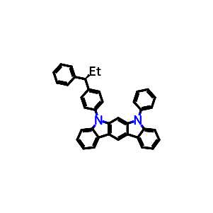 CC[C@H](c1ccccc1)c1ccc(-n2c3ccccc3c3cc4c5ccccc5n(-c5ccccc5)c4cc32)cc1